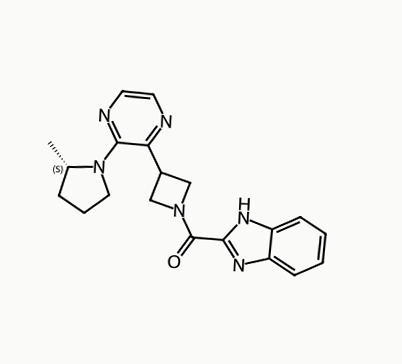 C[C@H]1CCCN1c1nccnc1C1CN(C(=O)c2nc3ccccc3[nH]2)C1